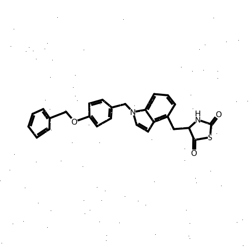 O=C1NC(Cc2cccc3c2ccn3Cc2ccc(OCc3ccccc3)cc2)C(=O)S1